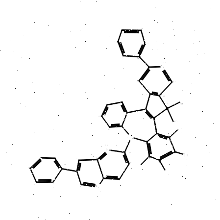 Bc1c(B)c(B)c2c(c1B)C1=C(c3ccccc3N2c2ccc3ncc(-c4ccccc4)cc3n2)c2cc(-c3ccccc3)ncc2C1(C)C